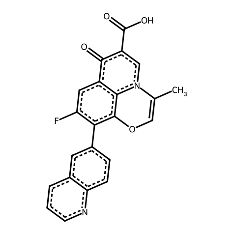 CC1=COc2c(-c3ccc4ncccc4c3)c(F)cc3c(=O)c(C(=O)O)cn1c23